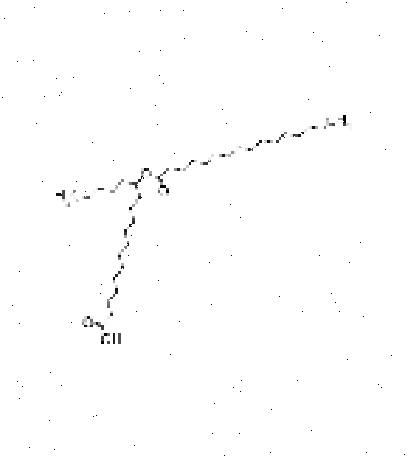 CCCCCCCCCCCCCCCC(=O)OC(CCCCC)CCCCCCCCCCCC(=O)O